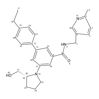 Cc1ccc(CNC(=O)c2cc(-c3ccc(CI)cc3)cc(N3CCC[C@@H]3CO)c2)cn1